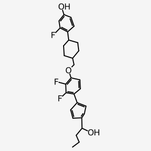 CCCC(O)c1ccc(-c2ccc(OCC3CCC(c4ccc(O)cc4F)CC3)c(F)c2F)cc1